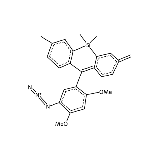 C=c1ccc2c(c1)[Si](C)(C)c1cc(C)ccc1C=2c1cc(N=[N+]=[N-])c(OC)cc1OC